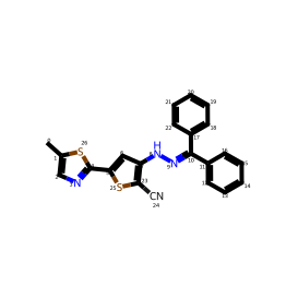 Cc1cnc(-c2cc(NN=C(c3ccccc3)c3ccccc3)c(C#N)s2)s1